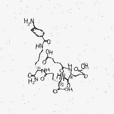 NC(=O)[C@H](CCCCNC(=O)c1ccc(N)cc1)NC(=O)CC[C@H](NC(=O)[C@H](CS(=O)(=O)O)NC(=O)CCCC(=O)O)C(=O)O